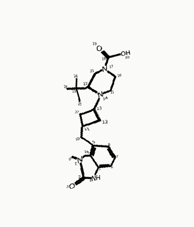 Cn1c(=O)[nH]c2cccc(CC3CC(N4CCN(C(=O)O)CC4C(C)(C)C)C3)c21